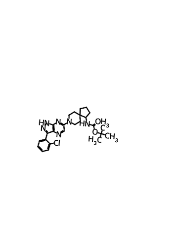 CC(C)(C)OC(=O)NC1CCCC12CCN(c1cnc3c(-c4ccccc4Cl)n[nH]c3n1)CC2